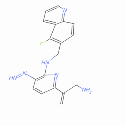 C=C(CN)c1ccc(N=N)c(NCc2ccc3ncccc3c2F)n1